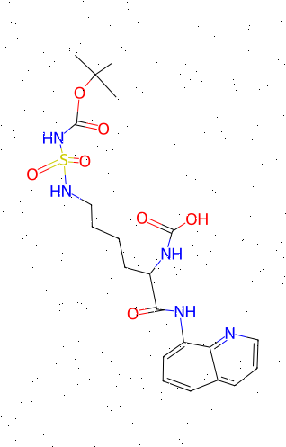 CC(C)(C)OC(=O)NS(=O)(=O)NCCCCC(NC(=O)O)C(=O)Nc1cccc2cccnc12